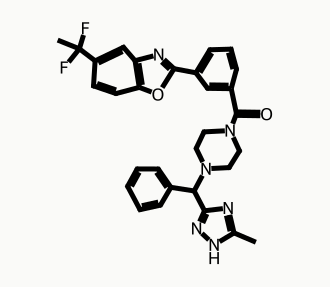 Cc1nc(C(c2ccccc2)N2CCN(C(=O)c3cccc(-c4nc5cc(C(C)(F)F)ccc5o4)c3)CC2)n[nH]1